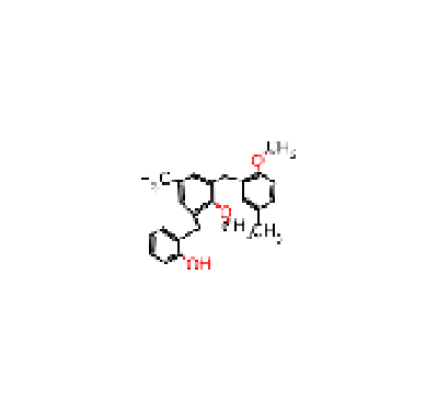 COc1ccc(C)cc1Cc1cc(C)cc(Cc2ccccc2O)c1OC